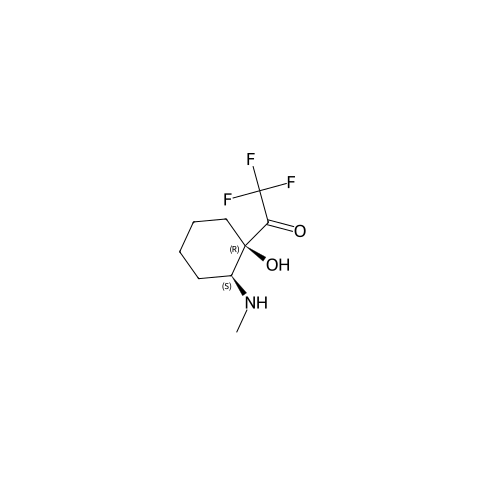 CN[C@H]1CCCC[C@]1(O)C(=O)C(F)(F)F